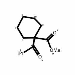 COC(=O)C1(C(=O)C(C)C)CCCCC1